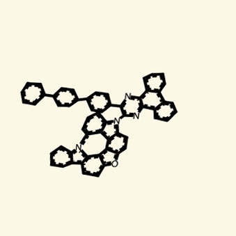 c1ccc(-c2ccc(-c3ccc(-c4nc5c6ccccc6c6ccccc6c5nc4-n4c5ccc6oc7ccc8c9ccccc9n9c%10cccc4c%10c5c6c7c89)cc3)cc2)cc1